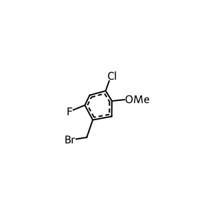 COc1cc(CBr)c(F)cc1Cl